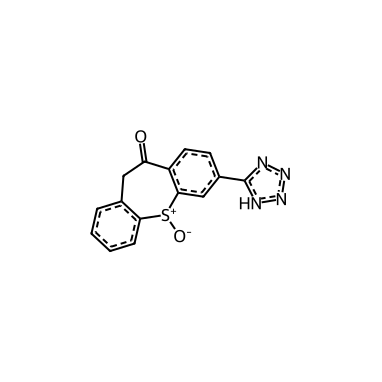 O=C1Cc2ccccc2[S+]([O-])c2cc(-c3nnn[nH]3)ccc21